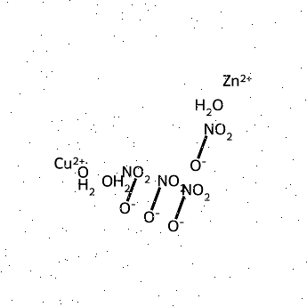 O.O.O.O=[N+]([O-])[O-].O=[N+]([O-])[O-].O=[N+]([O-])[O-].O=[N+]([O-])[O-].[Cu+2].[Zn+2]